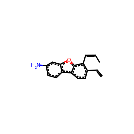 C=Cc1ccc2c(oc3cc(N)ccc32)c1/C=C\C